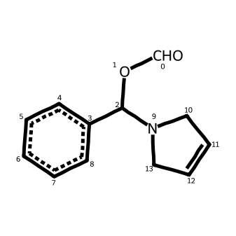 O=COC(c1ccccc1)N1CC=CC1